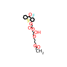 C=CC(=O)OCCCCOCC(O)COC(=O)COc1ccc(F)c2c(=O)c3ccccc3sc12